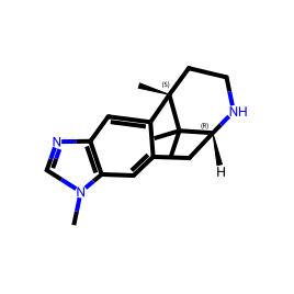 Cn1cnc2cc3c(cc21)C[C@H]1NCC[C@]3(C)C1(C)C